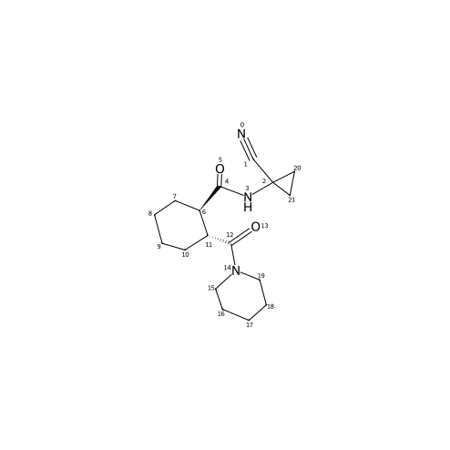 N#CC1(NC(=O)[C@@H]2CCCC[C@H]2C(=O)N2CCCCC2)CC1